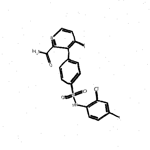 NC(=O)c1nccc(I)c1-c1ccc(S(=O)(=O)Nc2ccc(I)cc2Cl)cc1